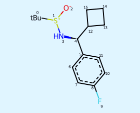 CC(C)(C)[S+]([O-])N[C@H](c1ccc(F)cc1)C1CCC1